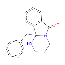 O=C1c2ccccc2C2(Cc3ccccc3)NCCCN12